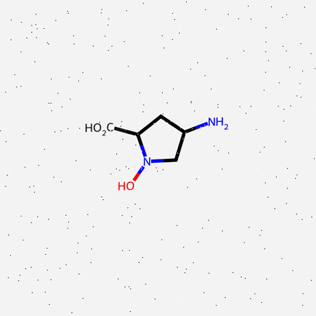 NC1CC(C(=O)O)N(O)C1